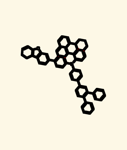 C1=Cc2oc3cc(-c4ccc(N(c5ccc(-c6ccc(-c7ccccc7)c(-c7ccccc7)c6)cc5)c5ccccc5-c5cccc6cccc(C7CCCCC7)c56)cc4)ccc3c2CC1